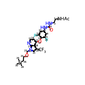 CC(=O)NCCNC(=O)Nc1cc(F)c(Oc2ccnc3c2c(C(F)(F)F)cn3COCC[Si](C)(C)C)c(F)c1